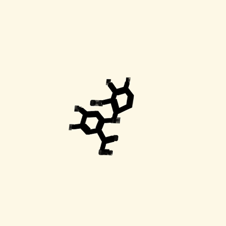 COC(=O)c1cc(F)c(Br)cc1Nc1ccc(F)c(F)c1C=O